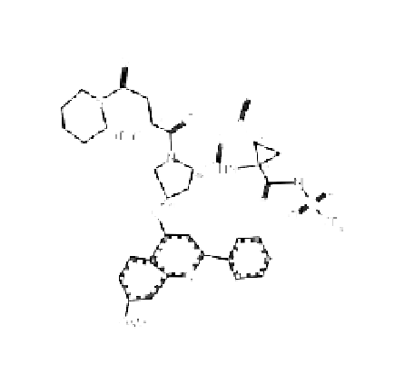 C=C[C@@H]1C[C@]1(NC(=O)[C@@H]1C[C@@H](Oc2cc(-c3ccccc3)nc3cc(OC)ccc23)CN1C(=O)[C@@H](CC(=O)N1CCCCC1)C(C)(C)C)C(=O)NS(=O)(=O)C(F)(F)F